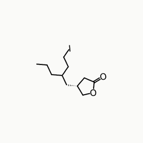 CCCC(CCI)C[C@H]1COC(=O)C1